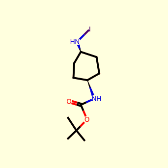 CC(C)(C)OC(=O)N[C@H]1CC[C@@H](NI)CC1